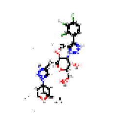 CO[C@@H]1[C@@H](n2cc(-c3ccc(F)c(F)c3F)nn2)[C@@H](O)[C@@H](CO)O[C@@H]1Cc1cn(C23CCOC(C)(C2)C3)nn1